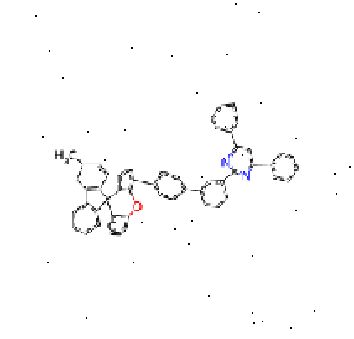 CC1C=CC2=C(C1)c1ccccc1C21c2ccccc2Oc2c(-c3ccc(-c4cccc(-c5nc(-c6ccccc6)cc(-c6ccccc6)n5)c4)cc3)cccc21